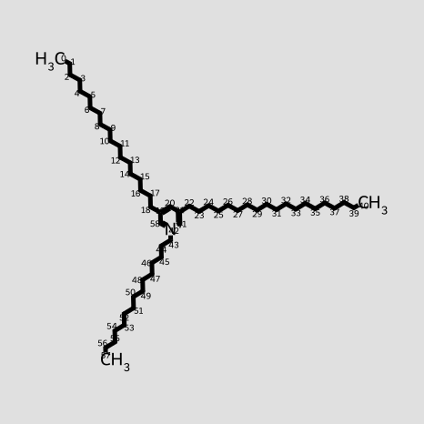 CCCCCCCCCCCCCCCCCCCc1cc(CCCCCCCCCCCCCCCCCCC)c[n+](CCCCCCCCCCCCCCC)c1